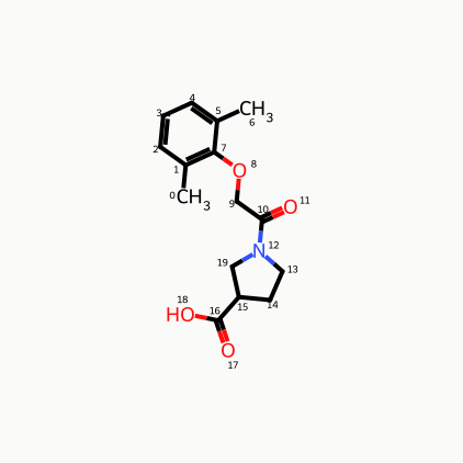 Cc1c[c]cc(C)c1OCC(=O)N1CCC(C(=O)O)C1